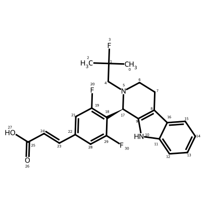 CC(C)(F)CN1CCc2c([nH]c3ccccc23)[C@H]1c1c(F)cc(/C=C/C(=O)O)cc1F